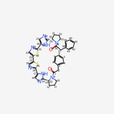 O=C(Cc1ccccc1)N1CCC[C@H]1c1ncc(-c2ncc(-c3cnc(-c4cnc([C@@H]5CCCN5C(=O)Cc5ccccc5)[nH]4)s3)s2)[nH]1